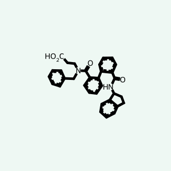 O=C(O)CCN(Cc1ccccc1)C(=O)c1ccccc1-c1ccccc1C(=O)NC1CCc2ccccc21